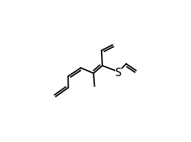 C=C/C=C\C(C)=C(/C=C)SC=C